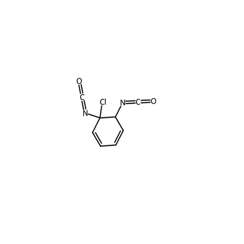 O=C=NC1C=CC=CC1(Cl)N=C=O